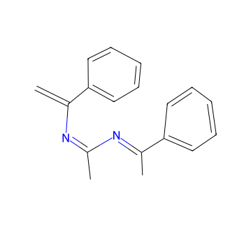 C=C(/N=C(C)\N=C(/C)c1ccccc1)c1ccccc1